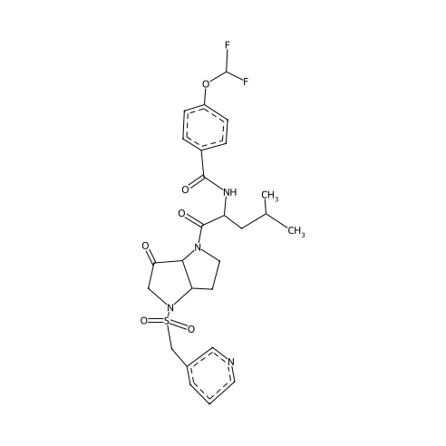 CC(C)CC(NC(=O)c1ccc(OC(F)F)cc1)C(=O)N1CCC2C1C(=O)CN2S(=O)(=O)Cc1cccnc1